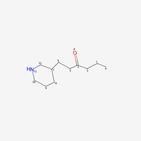 CCCC(=O)CCC1CCCNC1